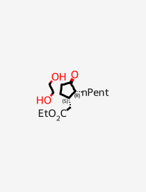 CCCCC[C@H]1C(=O)CC[C@H]1CC(=O)OCC.OCCO